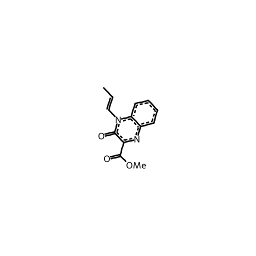 CC=Cn1c(=O)c(C(=O)OC)nc2ccccc21